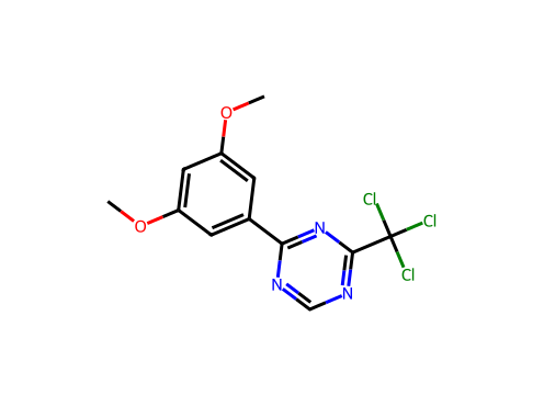 COc1cc(OC)cc(-c2ncnc(C(Cl)(Cl)Cl)n2)c1